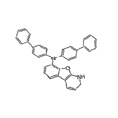 C1=Cc2c(oc3c(N(c4ccc(-c5ccccc5)cc4)c4ccc(-c5ccccc5)cc4)cccc23)NC1